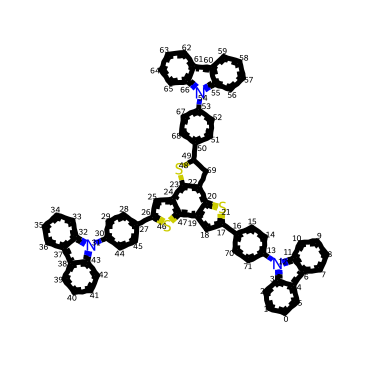 c1ccc2c(c1)c1ccccc1n2-c1ccc(-c2cc3c(s2)c2c(c4cc(-c5ccc(-n6c7ccccc7c7ccccc76)cc5)sc43)SC(c3ccc(-n4c5ccccc5c5ccccc54)cc3)C2)cc1